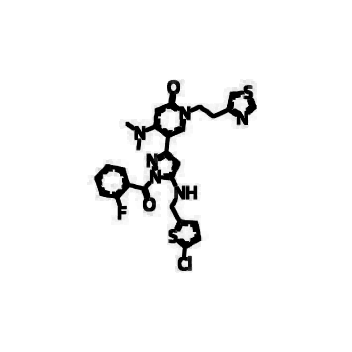 CN(C)c1cc(=O)n(CCc2cscn2)cc1-c1cc(NCc2ccc(Cl)s2)n(C(=O)c2ccccc2F)n1